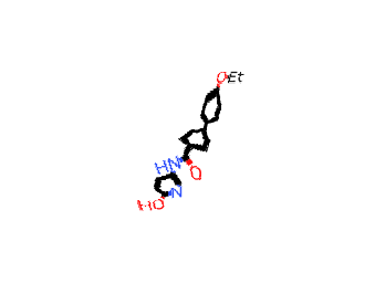 CCOc1ccc(-c2ccc(C(=O)Nc3ccc(O)nc3)cc2)cc1